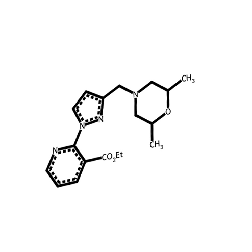 CCOC(=O)c1cccnc1-n1ccc(CN2CC(C)OC(C)C2)n1